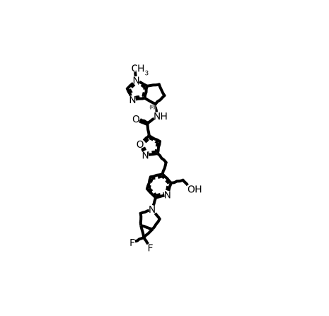 Cn1cnc2c1CC[C@H]2NC(=O)c1cc(Cc2ccc(N3CC4C(C3)C4(F)F)nc2CO)no1